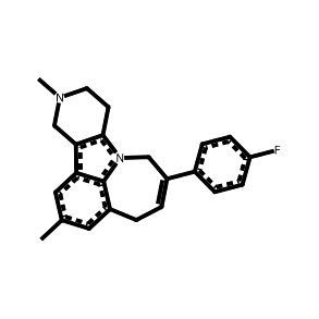 Cc1cc2c3c(c1)c1c(n3CC(c3ccc(F)cc3)=CC2)CCN(C)C1